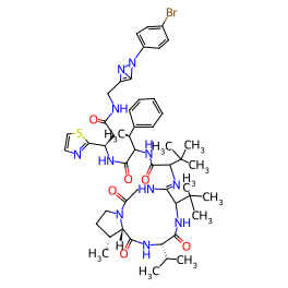 CC(C)[C@@H]1NC(=O)[C@@H]2[C@H](C)CCN2C(=O)CN/C(=N\C(C(=O)NC(C(=O)N[C@H](CC(=O)NCc2c3n(-c4ccc(Br)cc4)n2-3)c2nccs2)[C@@H](C)c2ccccc2)C(C)(C)C)C(C(C)(C)C)NC1=O